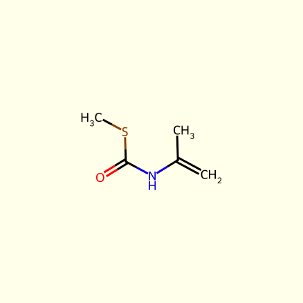 C=C(C)NC(=O)SC